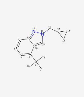 CC(C)(C)c1cccc2nn(CC3CC3)cc12